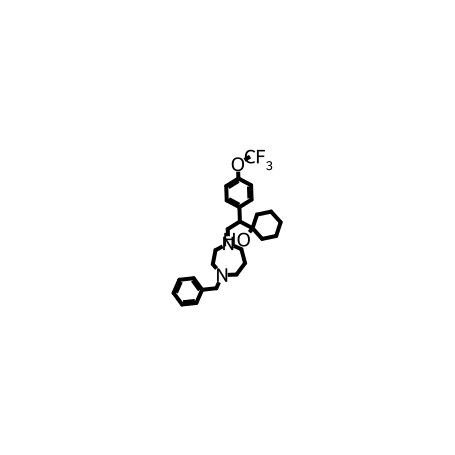 OC1(C(CN2CCCN(Cc3ccccc3)CC2)c2ccc(OC(F)(F)F)cc2)CCCCC1